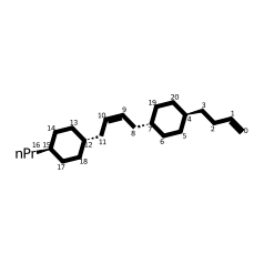 C=CCC[C@H]1CC[C@H](C/C=C\C[C@H]2CC[C@H](CCC)CC2)CC1